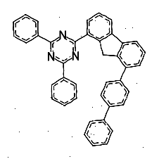 c1ccc(-c2ccc(-c3cccc4c3Cc3c(-c5nc(-c6ccccc6)nc(-c6ccccc6)n5)cccc3-4)cc2)cc1